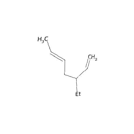 C=CC(CC)CC=CC